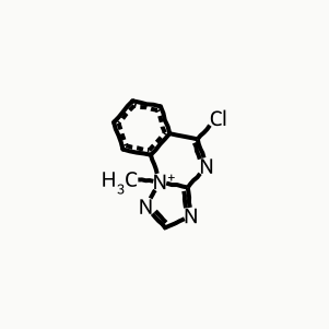 C[N+]12N=CN=C1N=C(Cl)c1ccccc12